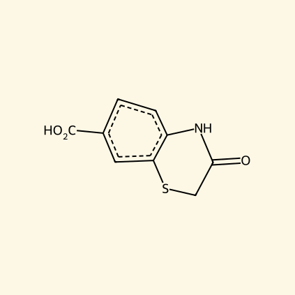 O=C1CSc2cc(C(=O)O)ccc2N1